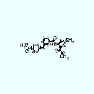 COC(=O)c1nn(C)cc1NC(=O)c1cccc(CN2CCN(C(C)=O)CC2)c1